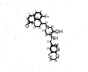 O=c1ccc2ccc(F)c3c2n1CCC3CN1CC[C@H](NCc2cc3c(nn2)OCCS3)[C@H](O)C1